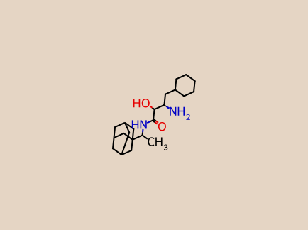 CC(NC(=O)C(O)[C@H](N)CC1CCCCC1)C12CC3CC(CC(C3)C1)C2